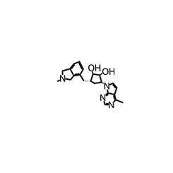 Cc1ncnc2c1ccn2[C@@H]1C[C@H](Cc2cccc3c2CN(C)C3)[C@@H](O)[C@H]1O